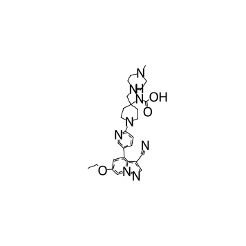 CCOc1cc(-c2ccc(N3CCC(CN4CCN(C)CC4)(NC(=O)O)CC3)nc2)c2c(C#N)cnn2c1